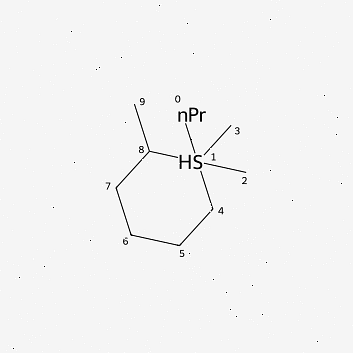 CCC[SH]1(C)(C)CCCCC1C